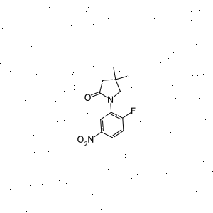 CC1(C)CC(=O)N(c2cc([N+](=O)[O-])ccc2F)C1